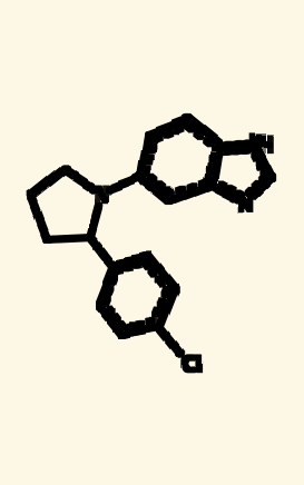 Clc1ccc(C2CCCN2c2ccc3[nH]cnc3c2)cc1